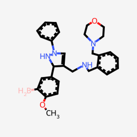 Bc1cc(C2NN(c3ccccc3)C=C2CNCc2ccccc2CN2CCOCC2)ccc1OC